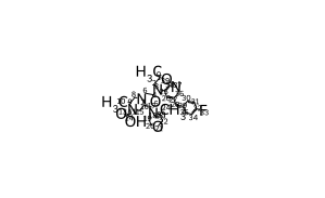 CC1CN(C(=O)CN2CC(C)N(C(=O)O)CC2CN2CCOC[C@H]2C)c2cc(Cc3ccc(F)cc3)cnc2O1